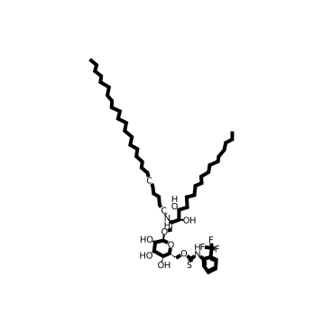 CCCCCCCCCCCCCCCCCCCCCCCCCCN[C@@H](CO[C@H]1O[C@H](COC(=S)Nc2ccccc2C(F)(F)F)[C@H](O)[C@H](O)[C@H]1O)[C@H](O)[C@H](O)CCCCCCCCCCCCCC